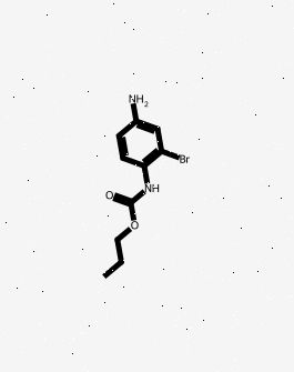 CCCOC(=O)Nc1ccc(N)cc1Br